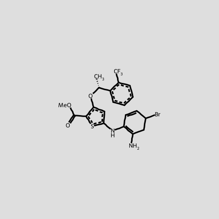 COC(=O)c1sc(NC2=C(N)CC(Br)C=C2)cc1O[C@H](C)c1ccccc1C(F)(F)F